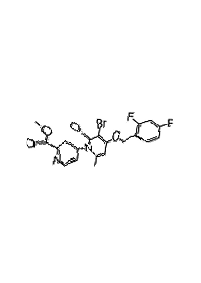 COC(=O)c1cc(-n2c(C)cc(OCc3ccc(F)cc3F)c(Br)c2=O)ccn1